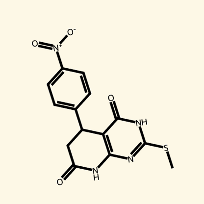 CSc1nc2c(c(=O)[nH]1)C(c1ccc([N+](=O)[O-])cc1)CC(=O)N2